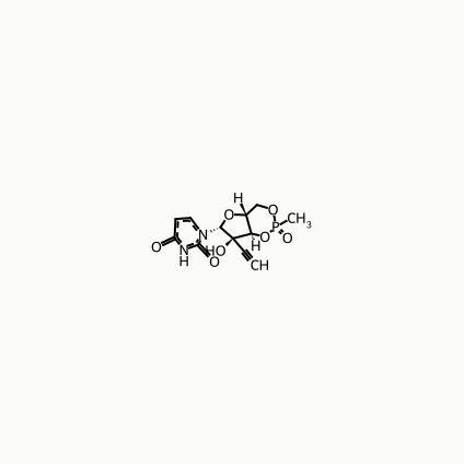 C#C[C@@]1(O)[C@@H]2OP(C)(=O)OC[C@H]2O[C@H]1n1ccc(=O)[nH]c1=O